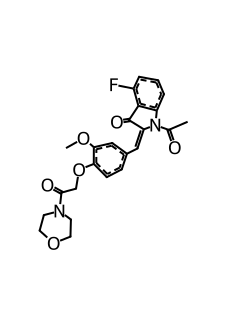 COc1cc(C=C2C(=O)c3c(F)cccc3N2C(C)=O)ccc1OCC(=O)N1CCOCC1